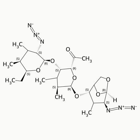 CC[C@@H]1O[C@H](O[C@H]2C(C)[C@H](C)[C@H](O[C@@H]3C4CO[C@H](O4)[C@@H](N=[N+]=[N-])C3C)O[C@H]2C(C)=O)[C@@H](N=[N+]=[N-])C(C)[C@@H]1C